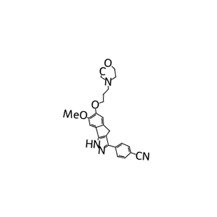 COc1cc2c(cc1OCCCN1CCOCC1)Cc1c(-c3ccc(C#N)cc3)n[nH]c1-2